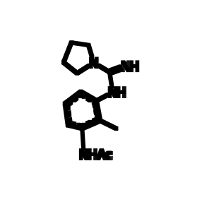 CC(=O)Nc1cccc(NC(=N)N2CCCC2)c1C